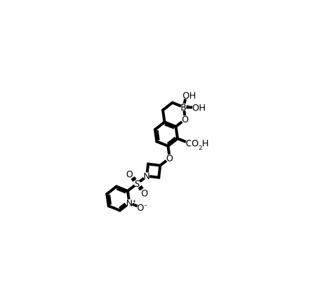 O=C(O)c1c(OC2CN(S(=O)(=O)c3cccc[n+]3[O-])C2)ccc2c1O[B-](O)(O)CC2